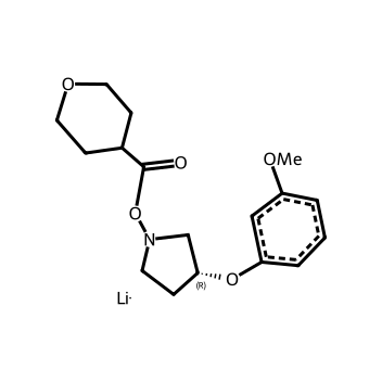 COc1cccc(O[C@@H]2CCN(OC(=O)C3CCOCC3)C2)c1.[Li]